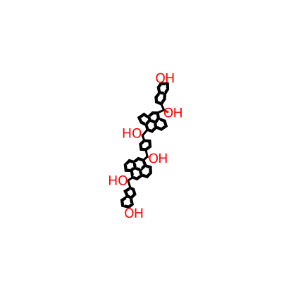 Oc1ccc2cc(C(O)c3cc4cccc5c(C(O)c6ccc(C(O)c7cc8cccc9c(C(O)c%10ccc%11cc(O)ccc%11c%10)cc%10cccc7c%10c89)cc6)cc6cccc3c6c45)ccc2c1